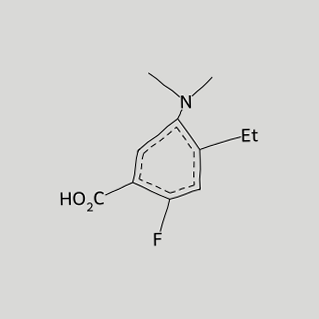 CCc1cc(F)c(C(=O)O)cc1N(C)C